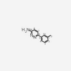 Cc1cccc(-c2ccc(N)nn2)c1